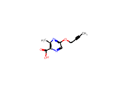 CC#CCOc1cnc(C(=O)O)c(C)n1